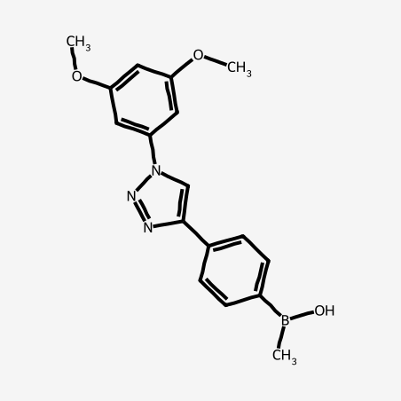 COc1cc(OC)cc(-n2cc(-c3ccc(B(C)O)cc3)nn2)c1